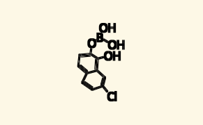 OB(O)Oc1ccc2ccc(Cl)cc2c1O